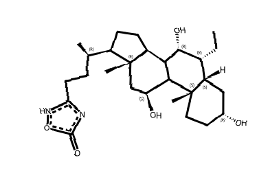 CC[C@H]1[C@@H](O)C2C3CCC([C@H](C)CCc4nc(=O)o[nH]4)[C@@]3(C)C[C@H](O)C2[C@@]2(C)CC[C@@H](O)C[C@@H]12